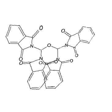 O=C1c2ccccc2C(=O)N1C(OC(N1C(=O)c2ccccc2C1=O)N1C(=O)c2ccccc2C1=O)N1C(=O)c2ccccc2C1=O